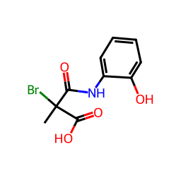 CC(Br)(C(=O)O)C(=O)Nc1ccccc1O